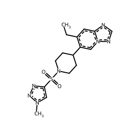 CCc1cc2ncnn2cc1C1CCN(S(=O)(=O)c2cn(C)nn2)CC1